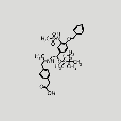 C[C@H](Cc1ccc(CC(=O)O)cc1)NC[C@@H](O[Si](C)(C)C(C)(C)C)c1ccc(OCc2ccccc2)c(NS(C)(=O)=O)c1